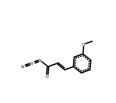 COc1cccc(C=CC(=O)N=[N+]=[N-])c1